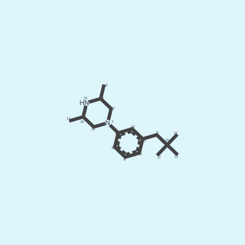 CC1CN(c2cccc(CC(C)(C)C)c2)CC(C)N1